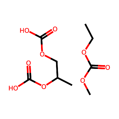 CC(COC(=O)O)OC(=O)O.CCOC(=O)OC